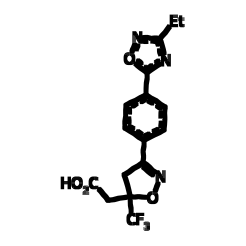 CCc1noc(-c2ccc(C3=NOC(CC(=O)O)(C(F)(F)F)C3)cc2)n1